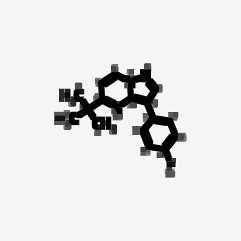 CC(C)(C)c1ccn2ncc(-c3ccc(F)cc3)c2n1